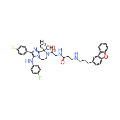 CC1(C)c2nc(-c3ccc(F)cc3)c(Nc3ccc(F)cc3)n2CCN1C(=O)CNC(=O)CCNCCCc1ccc2oc3ccccc3c2c1